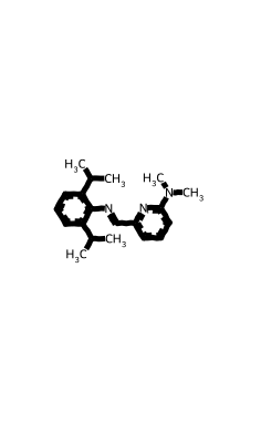 CC(C)c1cccc(C(C)C)c1N=Cc1cccc(N(C)C)n1